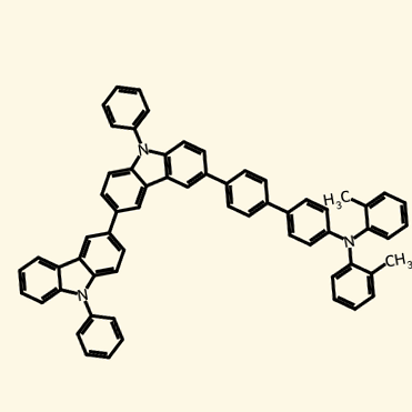 Cc1ccccc1N(c1ccc(-c2ccc(-c3ccc4c(c3)c3cc(-c5ccc6c(c5)c5ccccc5n6-c5ccccc5)ccc3n4-c3ccccc3)cc2)cc1)c1ccccc1C